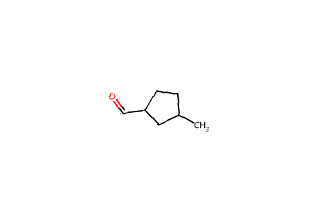 CC1CCC([C]=O)C1